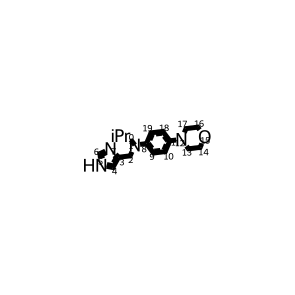 CC(C)N(Cc1c[nH]cn1)c1ccc(N2CCOCC2)cc1